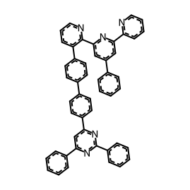 c1ccc(-c2cc(-c3ccccn3)nc(-c3ncccc3-c3ccc(-c4ccc(-c5cc(-c6ccccc6)nc(-c6ccccc6)n5)cc4)cc3)c2)cc1